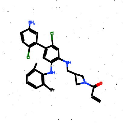 C=CC(=O)N1CC(CNc2cc(Cl)c(-c3cc(N)ccc3Cl)cc2Nc2c(C)cccc2C(C)C)C1